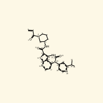 C=CC(=O)N1CCC[C@@H](NC(=O)c2sc3nccc4c3c2NC(=O)N4c2ccnc(C(C)C)c2)C1